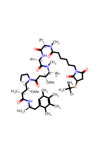 BC(C)(CC)SC1CC(=O)N(CCCCCC(=O)N(C)[C@H](C(=O)N[C@H](C(=O)N(C)[C@@H]([C@@H](C)CC)[C@@H](CC(=O)N2CCC[C@H]2[C@H](OC)[C@@H](C)C(=O)N[C@@H](CC2=CC(C)C(C)=C(C)C2C)C(=O)O)OC)C(C)C)C(C)C)C1=O